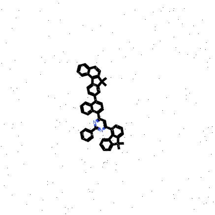 CC1(C)c2ccccc2-c2c(-c3cc(-c4ccc(-c5ccc6c(c5)C(C)(C)c5ccc7ccccc7c5-6)c5ccccc45)nc(-c4ccccc4)n3)cccc21